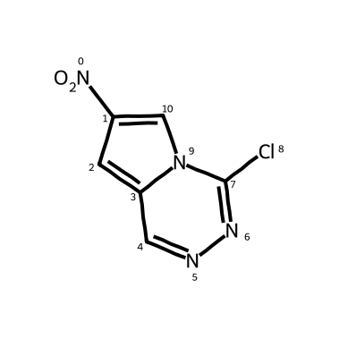 O=[N+]([O-])c1cc2cnnc(Cl)n2c1